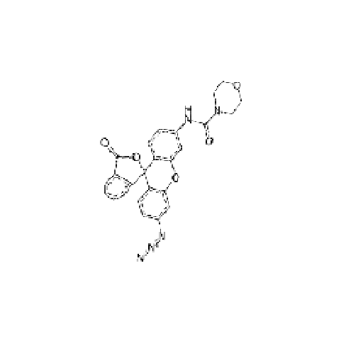 [N-]=[N+]=Nc1ccc2c(c1)Oc1cc(NC(=O)N3CCOCC3)ccc1C21OC(=O)c2ccccc21